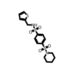 O=S(=O)(NCc1cccs1)c1ccc(S(=O)(=O)N2CCCCC2)cc1